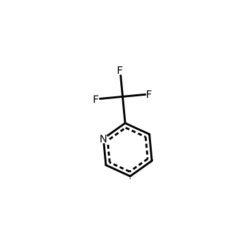 FC(F)(F)c1cc[c]cn1